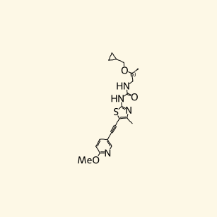 COc1ccc(C#Cc2sc(NC(=O)NC[C@H](C)OCC3CC3)nc2C)cn1